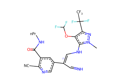 CCCNC(=O)c1cc(/C(C=N)=C/Nc2c(OC(F)F)c(C(F)(F)C(F)(F)F)nn2C)cnc1C#N